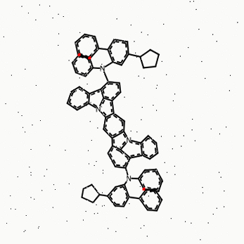 c1ccc(-c2ccc(C3CCCC3)cc2N(c2ccccc2)c2ccc3c4cc5c(cc4n4c6ccccc6c2c34)c2ccc(N(c3ccccc3)c3cc(C4CCCC4)ccc3-c3ccccc3)c3c4ccccc4n5c23)cc1